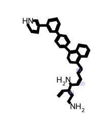 C=C/C(=C\CN)C(N)/C=C\C=C\C1=c2ccccc2=C(c2ccc(-c3cccc(C4=CNCC=C4)c3)cc2)CC1